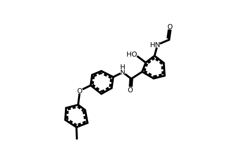 Cc1ccc(Oc2ccc(NC(=O)c3cccc(NC=O)c3O)cc2)cc1